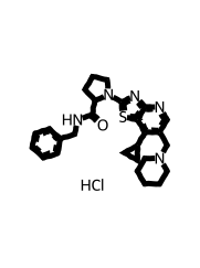 Cl.O=C(NCc1ccccc1)C1CCCN1c1nc2ncc(CN3CCCCC3)c(C3CC3)c2s1